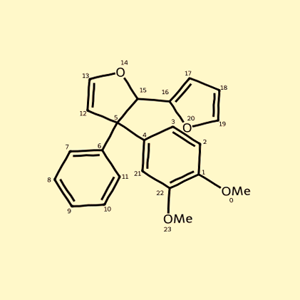 COc1ccc(C2(c3ccccc3)C=COC2c2ccco2)cc1OC